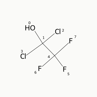 OC(Cl)(Cl)C(F)(F)F